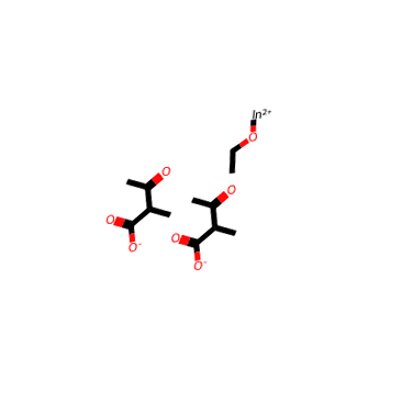 CC(=O)C(C)C(=O)[O-].CC(=O)C(C)C(=O)[O-].CC[O][In+2]